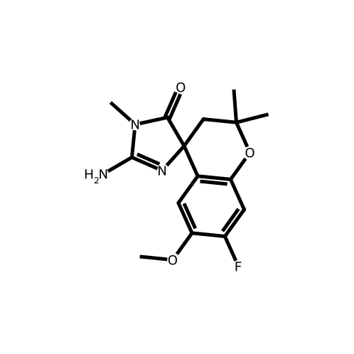 COc1cc2c(cc1F)OC(C)(C)CC21N=C(N)N(C)C1=O